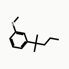 CCCC(C)(C)c1cccc(SC)c1